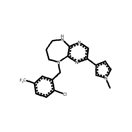 Cn1ccc(-c2cnc3c(n2)N(Cc2cc(C(F)(F)F)ccc2Cl)CCCN3)c1